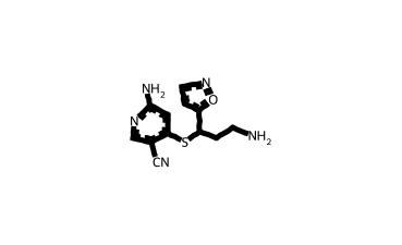 N#Cc1cnc(N)cc1SC(CCN)c1ccno1